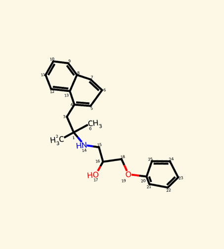 CC(C)(Cc1cccc2ccccc12)NCC(O)COc1ccccc1